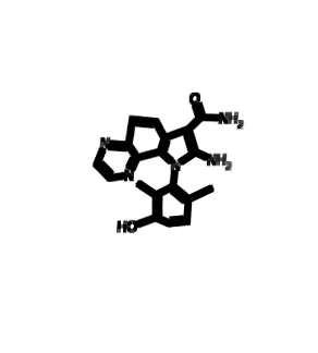 Cc1ccc(O)c(C)c1-n1c(N)c(C(N)=O)c2ccc3nccnc3c21